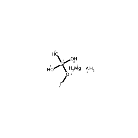 O[Si](O)(O)OF.[AlH3].[MgH2]